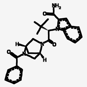 CC(C)(C)[C@@H](C(=O)N1C[C@@H]2C[C@H]1CN2C(=O)c1ccccc1)n1c(C(N)=O)cc2ccccc21